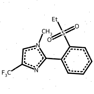 CCS(=O)(=O)c1ccccc1-c1nc(C(F)(F)F)cn1C